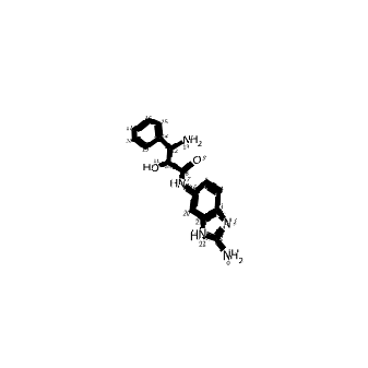 Nc1nc2ccc(NC(=O)C(O)C(N)c3ccccc3)cc2[nH]1